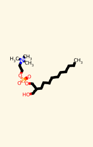 CCCCCCCCCCC(CO)COP(=O)([O-])OCC[N+](C)(C)C